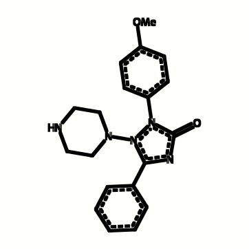 COc1ccc(-n2c(=O)nc(-c3ccccc3)n2N2CCNCC2)cc1